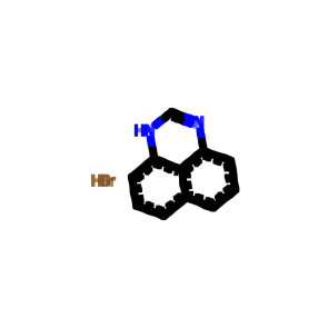 Br.C1=Nc2cccc3cccc(c23)N1